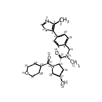 Cc1ncsc1-c1ccc(CN(C)C(=O)[C@@H]2C[C@@H](O)CN2C(=O)C2CCOCC2)cc1